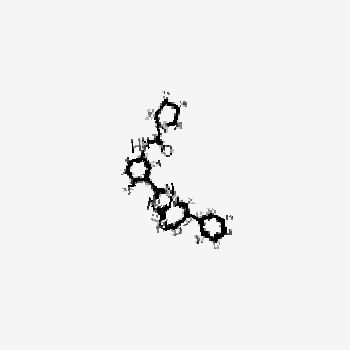 O=C(Nc1ccc(F)c(-c2nc3ncc(-c4ccccc4)cn3n2)c1)N1CCCC1